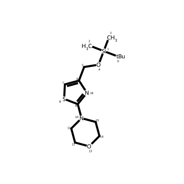 CC(C)(C)[Si](C)(C)OCc1csc(N2CCOCC2)n1